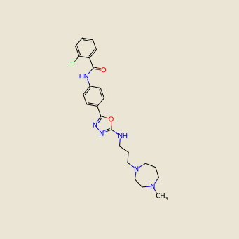 CN1CCCN(CCCNc2nnc(-c3ccc(NC(=O)c4ccccc4F)cc3)o2)CC1